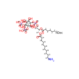 CCCCCCCCCCCCCCCC(=O)O[C@H](COC(=O)CCCCCCCCCCN)COP(=O)(O)OC1C(O)[C@@H](OP(=O)(O)O)C(OP(=O)(O)O)[C@@H](O)[C@H]1O